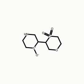 O=S1(=O)CCOCC1C1CNCC[S+]1[O-]